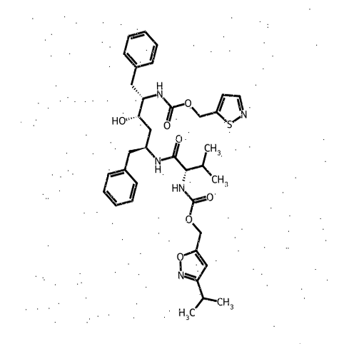 CC(C)c1cc(COC(=O)N[C@H](C(=O)N[C@@H](Cc2ccccc2)C[C@H](O)[C@H](Cc2ccccc2)NC(=O)OCc2ccns2)C(C)C)on1